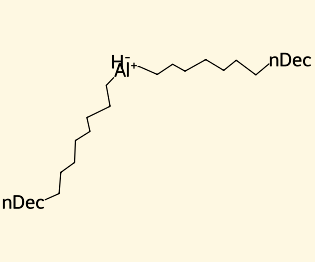 CCCCCCCCCCCCCCCCC[CH2][Al+][CH2]CCCCCCCCCCCCCCCCC.[H-]